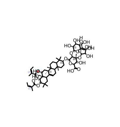 C/C=C(/C)C(=O)O[C@H]1[C@H](OC(=O)/C(C)=C\C)[C@@]2(CO)C(CC1(C)C)C1=CCC3[C@@]4(C)CC[C@H](O[C@@H]5OC(C(=O)O)[C@@H](O)[C@@](C)(OC6O[C@@H](CO)[C@@H](O)C6O)C5O[C@@H]5OC(CO)[C@H](O)C(O)[C@@H]5O)C(C)(C)C4CC[C@@]3(C)[C@]1(C)C[C@H]2O